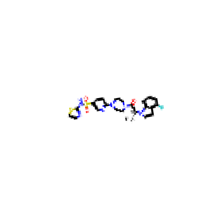 C[C@@H](C(=O)N1CCN(c2ccc(S(=O)(=O)Nc3nccs3)cn2)CC1)n1ccc2c(F)cccc21